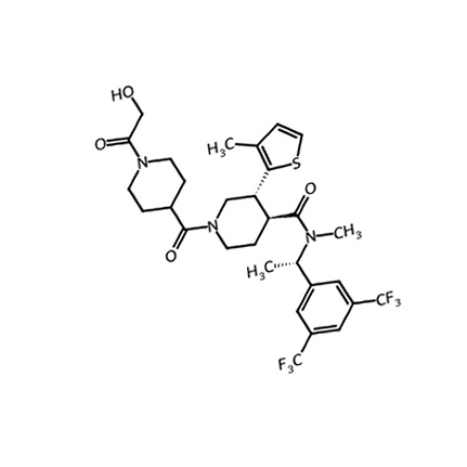 Cc1ccsc1[C@H]1CN(C(=O)C2CCN(C(=O)CO)CC2)CC[C@@H]1C(=O)N(C)[C@@H](C)c1cc(C(F)(F)F)cc(C(F)(F)F)c1